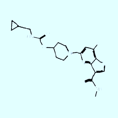 CNC(=O)c1csc2c(Cl)cc(N3CCC(OC(=O)NCC4CC4)CC3)nc12